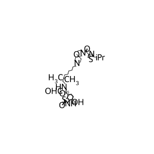 CC(C)c1nc(C(=O)N2CCOC3(CCN(CCCCCCC(C)(C)CCNC[C@H](OC=O)c4ccc(O)c5[nH]c(=O)sc45)CC3)C2)cs1